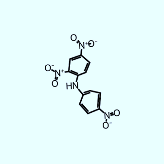 O=[N+]([O-])c1ccc(Nc2ccc([N+](=O)[O-])cc2[N+](=O)[O-])cc1